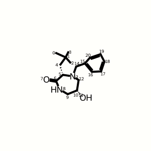 CC(C)(C)C[C@H]1C(=O)NC[C@@H](O)CN1Cc1ccccc1